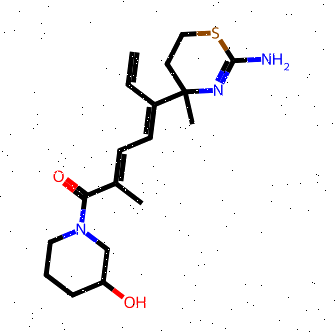 C=C/C(=C\C=C(/C)C(=O)N1CCCC(O)C1)C1(C)CCSC(N)=N1